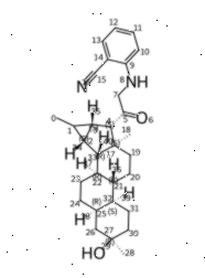 CC1[C@@H]2[C@H]1[C@H](C(=O)CNc1ccccc1C#N)[C@@]1(C)CC[C@H]3[C@@H](CC[C@@H]4C[C@](C)(O)CC[C@@H]43)[C@H]21